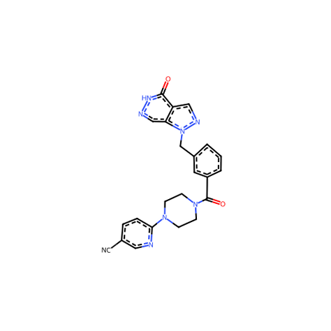 N#Cc1ccc(N2CCN(C(=O)c3cccc(Cn4ncc5c(=O)[nH]ncc54)c3)CC2)nc1